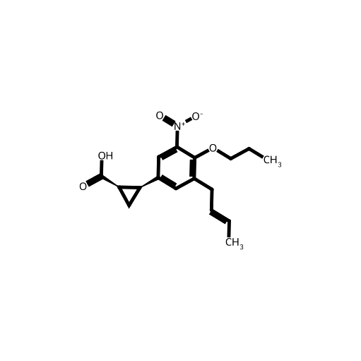 C/C=C/Cc1cc([C@H]2C[C@H]2C(=O)O)cc([N+](=O)[O-])c1OCCC